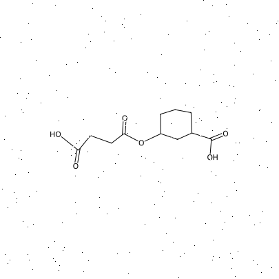 O=C(O)CCC(=O)OC1CCCC(C(=O)O)C1